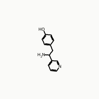 NC(Cc1ccc(O)cc1)c1cccnc1